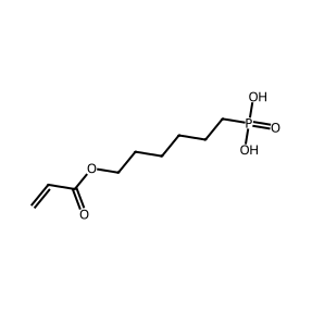 C=CC(=O)OCCCCCCP(=O)(O)O